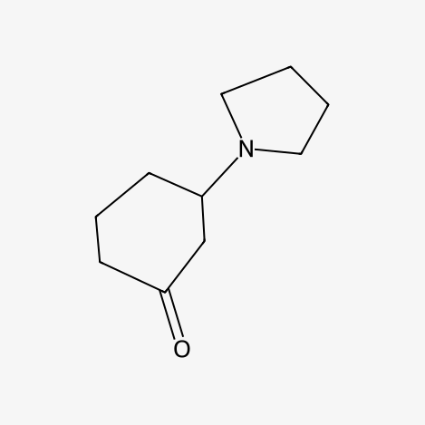 O=C1CCCC(N2CCCC2)C1